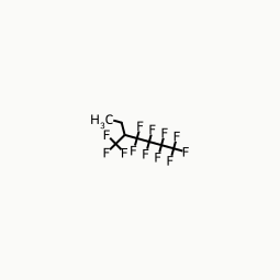 CCC(C(F)(F)F)C(F)(F)C(F)(F)C(F)(F)C(F)(F)F